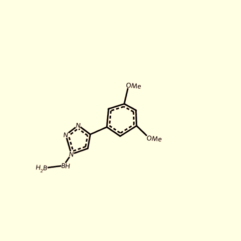 BBn1cc(-c2cc(OC)cc(OC)c2)nn1